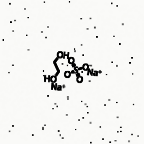 O=S(=O)([O-])[O-].OCCO.[Na+].[Na+]